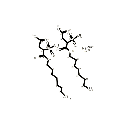 CCCCCCCCOC(=O)C(CC(=O)[O-])S(=O)(=O)O.CCCCCCCCOC(=O)C(CC(=O)[O-])S(=O)(=O)O.[Na+].[Na+]